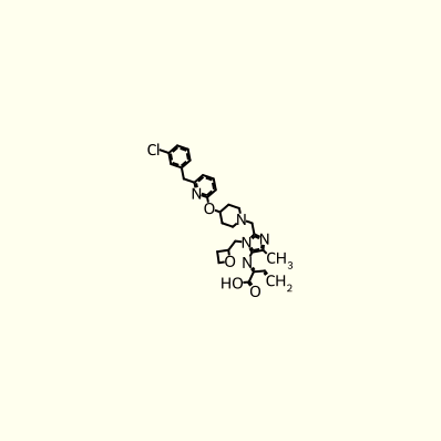 C=C/C(=N\c1c(C)nc(CN2CCC(Oc3cccc(Cc4cccc(Cl)c4)n3)CC2)n1CC1CCO1)C(=O)O